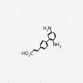 Nc1ccc(N)c(-c2ccc(C=CC(=O)O)cc2)c1